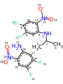 CC(C)Nc1cc(F)c(F)cc1[N+](=O)[O-].Nc1cc(F)c(F)cc1[N+](=O)[O-]